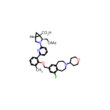 COC[C@H]1N(c2cccc(-c3cccc(C)c3OCc3cc(F)c4c(c3)CCN(C3CCOCC3)CC4)n2)C[C@@H]2C[C@@]21C(=O)O